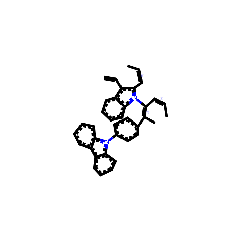 C=Cc1c(/C=C\C)n(C(/C=C\C)=C(/C)c2ccc(-n3c4ccccc4c4ccccc43)cc2)c2ccccc12